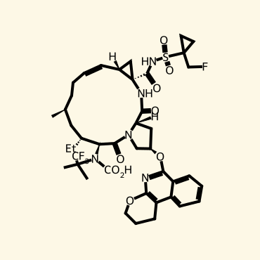 CC[C@@H]1C[C@@H](C)CC/C=C\[C@@H]2C[C@@]2(C(=O)NS(=O)(=O)C2(CF)CC2)NC(=O)[C@@H]2C[C@@H](Oc3nc4c(c5ccccc35)CCCO4)CN2C(=O)[C@H]1N(C(=O)O)C(C)(C)C(F)(F)F